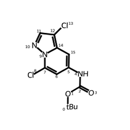 CC(C)(C)OC(=O)Nc1cc(Cl)n2ncc(Cl)c2c1